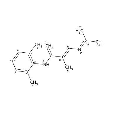 C=C(Nc1c(C)cccc1C)/C(C)=C/N=C(C)C